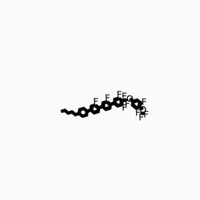 CCCCCC1CCC(c2ccc(-c3ccc(-c4cc(F)c(C(F)(F)Oc5ccc(OC(F)(F)F)c(F)c5)c(F)c4)c(F)c3)c(F)c2)CC1